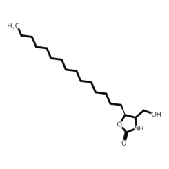 CCCCCCCCCCCCCCC[C@@H]1OC(=O)NC1CO